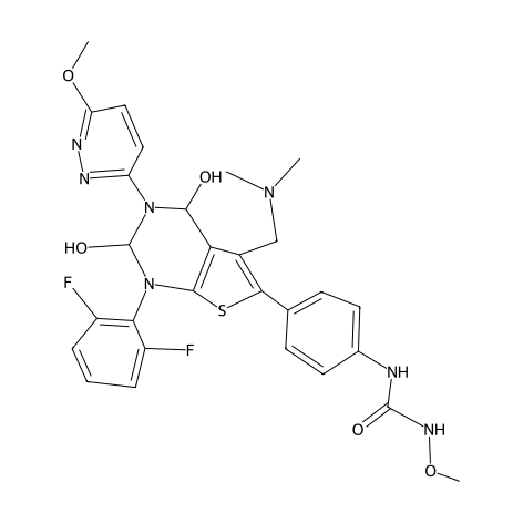 CONC(=O)Nc1ccc(-c2sc3c(c2CN(C)C)C(O)N(c2ccc(OC)nn2)C(O)N3c2c(F)cccc2F)cc1